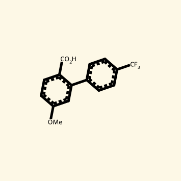 COc1ccc(C(=O)O)c(-c2ccc(C(F)(F)F)cc2)c1